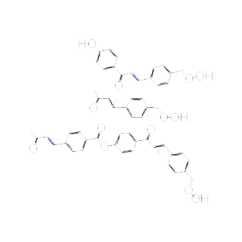 CC(=O)/C=C/c1ccc(C(=O)Oc2ccc(C(=O)/C=C/c3ccc(COO)cc3)cc2)cc1.CC(=O)/C=C/c1ccc(COO)cc1.O=C(/C=C/c1ccc(COO)cc1)c1ccc(O)cc1